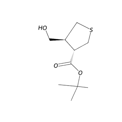 CC(C)(C)OC(=O)[C@H]1CSC[C@@H]1CO